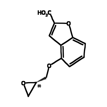 O=C(O)c1cc2c(OC[C@@H]3CO3)cccc2o1